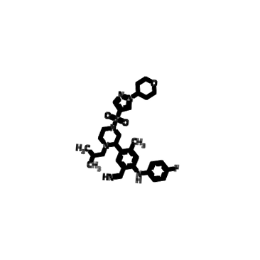 Cc1cc(Nc2ccc(F)cc2)c(C=N)cc1C1CN(S(=O)(=O)c2cnn(C3CCOCC3)c2)CCN1CC(C)C